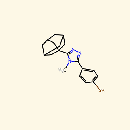 Cn1c(-c2ccc(S)cc2)nnc1C12CC3CC(CC(C3)C1)C2